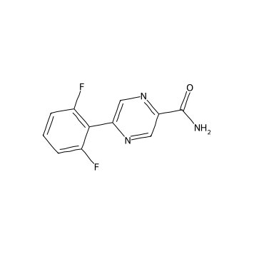 NC(=O)c1cnc(-c2c(F)cccc2F)cn1